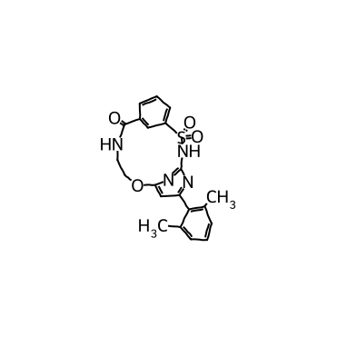 Cc1cccc(C)c1-c1cc2nc(n1)NS(=O)(=O)c1cccc(c1)C(=O)NCCO2